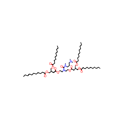 CCCCCCCCCCC(=O)OCC(COC(=O)CCCCCCCCCC)CC(=O)OCCN(CCOC(=O)CC(COC(=O)CCCCCCCCCC)COC(=O)CCCCCCCCCC)C(=O)N(C)CCCN(C)C